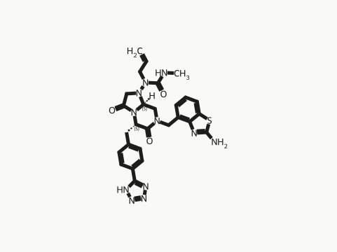 C=CCN(C(=O)NC)N1CC(=O)N2[C@@H](Cc3ccc(-c4nnn[nH]4)cc3)C(=O)N(Cc3cccc4sc(N)nc34)C[C@@H]21